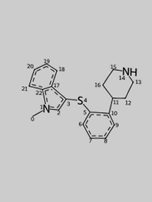 Cn1cc(Sc2ccccc2C2CCNCC2)c2ccccc21